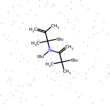 C=C(N(C(C)(C)C)C(C)(C(=C)C)C(C)(C)C)C(C)(C)C(C)(C)C